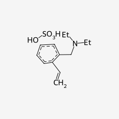 C=Cc1ccccc1CN(CC)CC.O=S(=O)(O)O